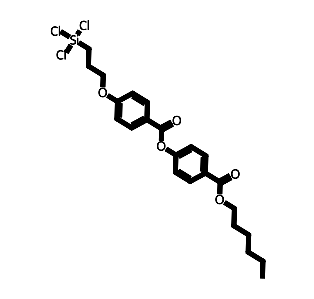 CCCCCCOC(=O)c1ccc(OC(=O)c2ccc(OCCC[Si](Cl)(Cl)Cl)cc2)cc1